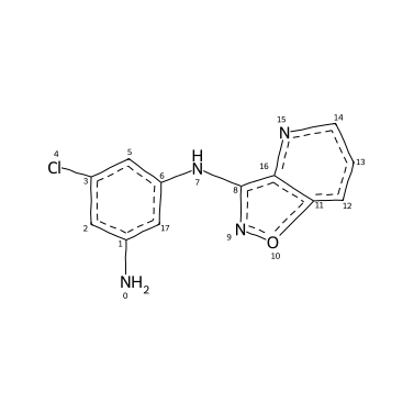 Nc1cc(Cl)cc(Nc2noc3cccnc23)c1